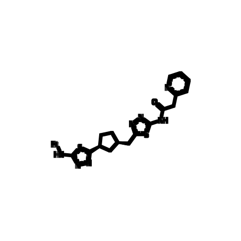 CCNc1nnc([C@H]2CC[C@@H](Cc3nnc(NC(=O)Cc4ccccn4)s3)C2)s1